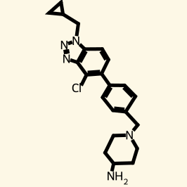 NC1CCN(Cc2ccc(-c3ccc4c(nnn4CC4CC4)c3Cl)cc2)CC1